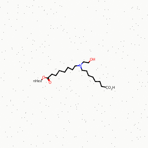 CCCCCCOC(=O)CCCCCCCN(CCO)CCCCCCCC(=O)O